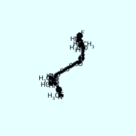 Cc1ncsc1-c1ccc(CNC(=O)[C@@H]2C[C@@H](O)CN2C(=O)[C@@H](NC(=O)COCCOCCOCCOCCOCC(=O)N2CCN(CCCNC(=O)c3c(C)[nH]c(/C=C4\C(=O)Nc5ccc(F)cc54)c3C)CC2)C(C)(C)C)cc1